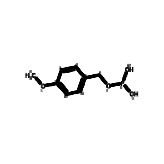 COc1ccc(COP(O)O)cc1